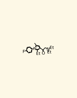 CCc1c(C(=O)CN(CC)CC)cc(C)n1-c1ccc(F)cc1